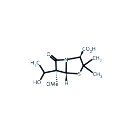 CO[C@]1(C(C)O)C(=O)N2[C@@H](C(=O)O)C(C)(C)S[C@@H]21